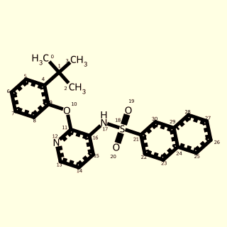 CC(C)(C)c1ccccc1Oc1ncccc1NS(=O)(=O)c1ccc2ccccc2c1